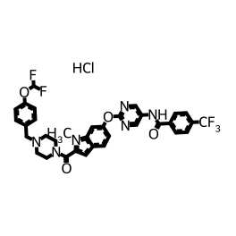 Cl.Cn1c(C(=O)N2CCN(Cc3ccc(OC(F)F)cc3)CC2)cc2ccc(Oc3ncc(NC(=O)c4ccc(C(F)(F)F)cc4)cn3)cc21